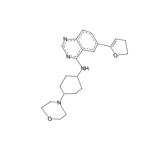 C1=C(c2ccc3ncnc(NC4CCC(N5CCOCC5)CC4)c3c2)OCC1